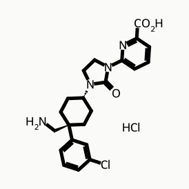 Cl.NC[C@]1(c2cccc(Cl)c2)CC[C@@H](N2CCN(c3cccc(C(=O)O)n3)C2=O)CC1